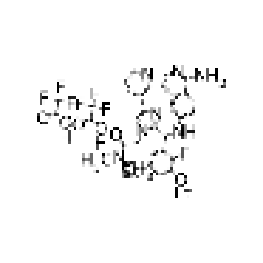 CCOc1cc(CC)cc(C(Nc2ccc3c(N)nccc3c2)c2nc(-c3cccnc3)cn2CC(=O)N(C)C)c1F.O=C(O)C(F)(F)F.O=C(O)C(F)(F)F